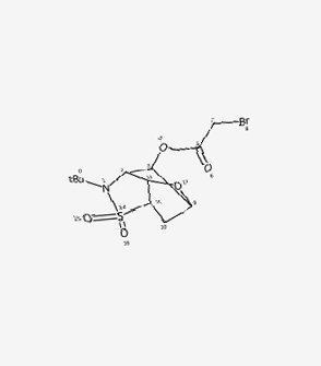 CC(C)(C)N1C2C(OC(=O)CBr)C3CC(C2O3)S1(=O)=O